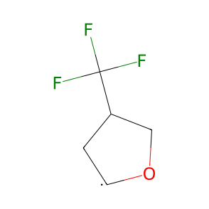 FC(F)(F)C1C[CH]OC1